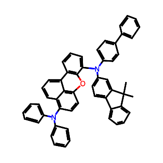 CC1(C)c2ccccc2-c2ccc(N(c3ccc(-c4ccccc4)cc3)c3cccc4c3Oc3ccc(N(c5ccccc5)c5ccccc5)c5cccc-4c35)cc21